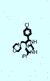 CC(C)C1=CN2C(CN3CCOCC3)=C(c3ccc(Cl)cc3)NC2CN1